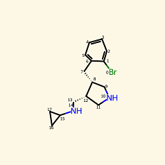 Brc1ccccc1C[C@@H]1CNC[C@@H]1CNC1CC1